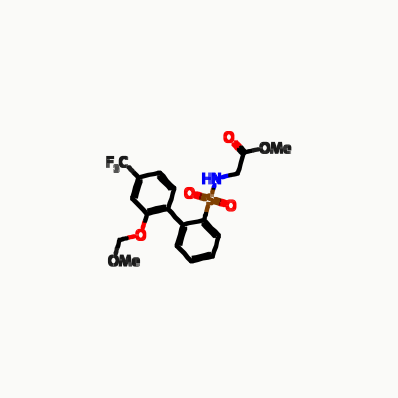 COCOc1cc(C(F)(F)F)ccc1-c1ccccc1S(=O)(=O)NCC(=O)OC